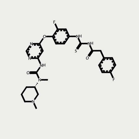 CN1CCC[C@H](N(C)C(=O)Nc2cc(Oc3ccc(NC(=S)NC(=O)Cc4ccc(F)cc4)cc3F)ncn2)C1